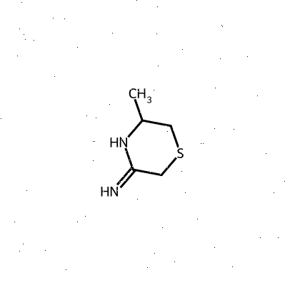 CC1CSCC(=N)N1